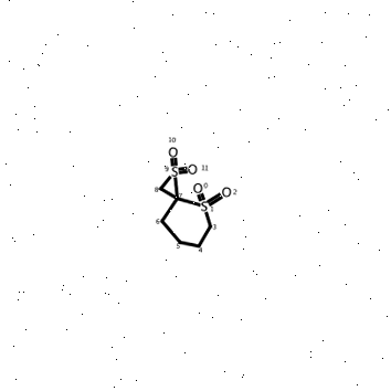 O=S1(=O)CCCCC12CS2(=O)=O